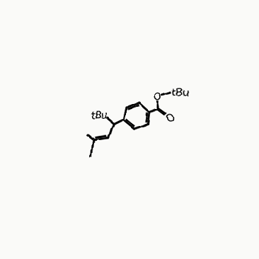 CC(C)=CC(c1ccc(C(=O)OC(C)(C)C)cc1)C(C)(C)C